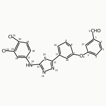 O=Cc1cccc(Oc2cccc(-c3nnc(Nc4ccc(Cl)c(Cl)c4)s3)c2)c1